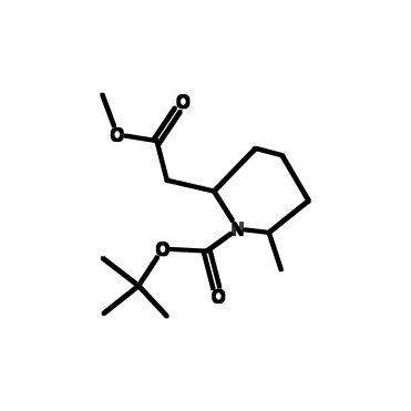 COC(=O)CC1CCCC(C)N1C(=O)OC(C)(C)C